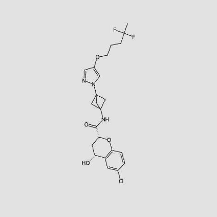 CC(F)(F)CCCOc1cnn(C23CC(NC(=O)[C@H]4C[C@@H](O)c5cc(Cl)ccc5O4)(C2)C3)c1